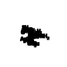 CC[C@H](C)CC(=O)N(C)C(C[C@@H](OC(C)=O)c1nc(C(=O)N[C@@H](Cc2ccc(O)c(NC(=O)CCCN3C(=O)CC(S)C3=O)c2)CC(C)C(=O)NCCN)cs1)C(C)C